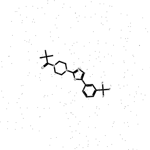 CC(C)(C)C(=O)N1CCN(c2ncc(-c3cccc(C(F)(F)F)c3)o2)CC1